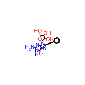 Nc1nc2c(nc(C#Cc3ccccc3)n2[C@@H]2O[C@H](CO)C(O)C2O)c(=O)[nH]1